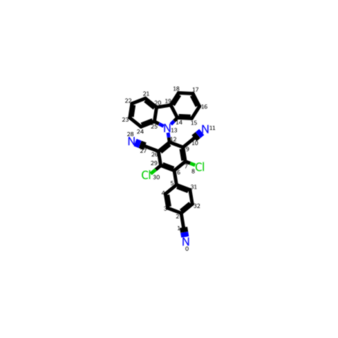 N#Cc1ccc(-c2c(Cl)c(C#N)c(-n3c4ccccc4c4ccccc43)c(C#N)c2Cl)cc1